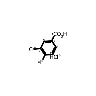 Cl.O=C(O)c1ccc(F)c(Cl)c1